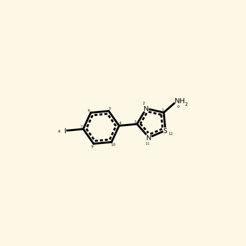 Nc1nc(-c2ccc(I)cc2)ns1